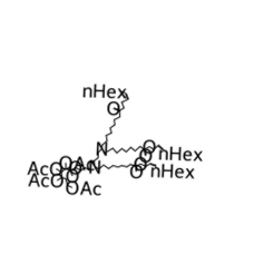 CCCCCC/C=C\CCC(=O)CCCCCCCCN(CCCCCCCCC(=O)OC/C=C\CCCCCC)CCCN(CCCCCCCCC(=O)OC/C=C\CCCCCC)CCCOC1OC(COC(C)=O)C(OC(C)=O)C(OC(C)=O)C1OC(C)=O